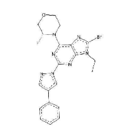 CCn1c(Br)nc2c(N3CCOC[C@H]3C)nc(-n3cc(-c4ccccc4)cn3)nc21